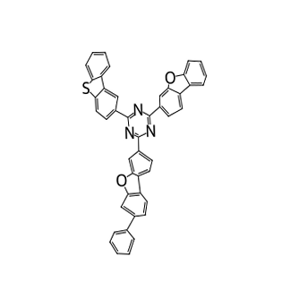 c1ccc(-c2ccc3c(c2)oc2cc(-c4nc(-c5ccc6c(c5)oc5ccccc56)nc(-c5ccc6sc7ccccc7c6c5)n4)ccc23)cc1